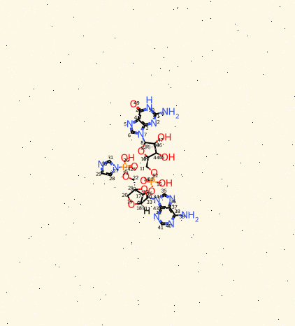 Nc1nc2c(ncn2[C@@H]2O[C@H](COP(=O)(O)OC3[C@@H]4OC[C@@]3(COP(=O)(O)n3ccnc3)O[C@H]4n3cnc4c(N)ncnc43)C(O)[C@@H]2O)c(=O)[nH]1